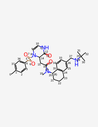 Cc1ccc(S(=O)(=O)N2C=CNC(=O)C2CC(=O)N(C)[C@@H]2CCCc3cc(CNC(C)(C)C)ccc32)cc1